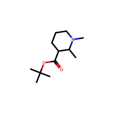 CC1C(C(=O)OC(C)(C)C)CCCN1C